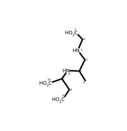 CC(CNCC(=O)O)NC(CC(=O)O)C(=O)O